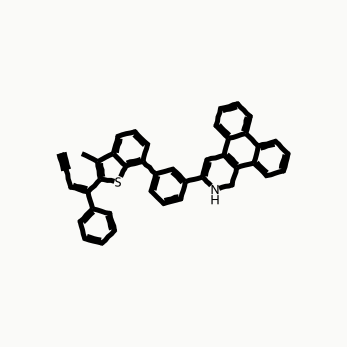 C#C/C=C(/c1ccccc1)c1sc2c(-c3cccc(C4=Cc5c(c6ccccc6c6ccccc56)CN4)c3)cccc2c1C